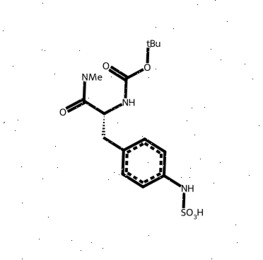 CNC(=O)[C@@H](Cc1ccc(NS(=O)(=O)O)cc1)NC(=O)OC(C)(C)C